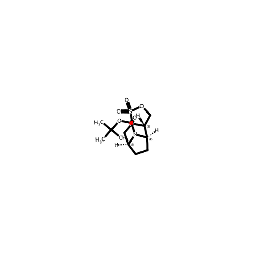 CC(C)(C)OC(=O)N1[C@H]2CC[C@@H]1[C@H]1COS(=O)(=O)N1C2